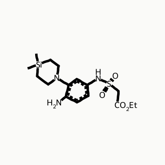 CCOC(=O)CS(=O)(=O)Nc1ccc(N)c(N2CC[Si](C)(C)CC2)c1